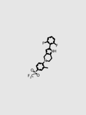 Cc1cc(S(=O)(=O)C(F)(F)F)ccc1N1CCc2[nH]c(-c3c(F)cccc3F)cc2C1